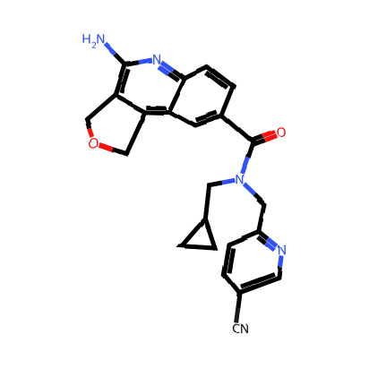 N#Cc1ccc(CN(CC2CC2)C(=O)c2ccc3nc(N)c4c(c3c2)COC4)nc1